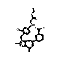 CCOC(=O)CNc1ccc(Cn2c(C)nc3c(C)cc(-c4cccc(C(=O)O)c4)cc32)c(Cl)c1